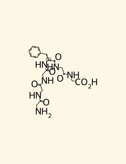 NCC(=O)NCC(=O)NCC(=O)N[C@@H](Cc1ccccc1)C(=O)NCC(=O)NCC(=O)O